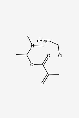 C=C(C)C(=O)OC(C)N(C)C.CCCCCCCCCl